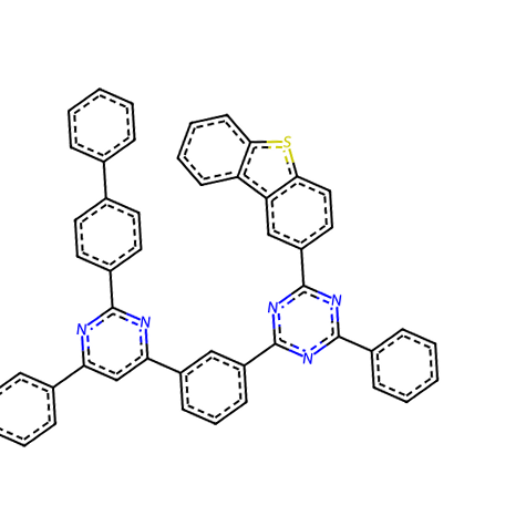 c1ccc(-c2ccc(-c3nc(-c4ccccc4)cc(-c4cccc(-c5nc(-c6ccccc6)nc(-c6ccc7sc8ccccc8c7c6)n5)c4)n3)cc2)cc1